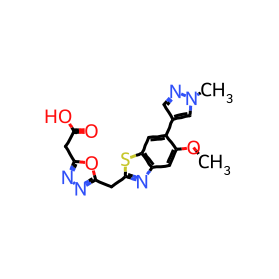 COc1cc2nc(Cc3nnc(CC(=O)O)o3)sc2cc1-c1cnn(C)c1